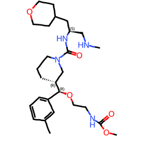 CNC[C@H](CC1CCOCC1)NC(=O)N1CCC[C@@H]([C@@H](OCCNC(=O)OC)c2cccc(C)c2)C1